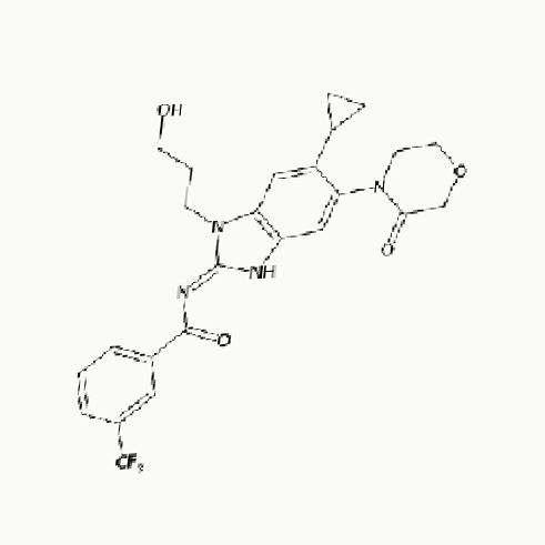 O=C(/N=c1\[nH]c2cc(N3CCOCC3=O)c(C3CC3)cc2n1CCCO)c1cccc(C(F)(F)F)c1